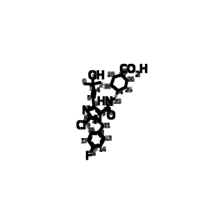 CC(C)(O)C#Cc1nc(Cl)n(Cc2ccc(F)cc2)c1C(=O)NC[C@H]1CC[C@H](C(=O)O)CC1